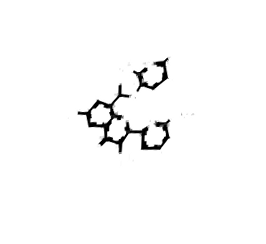 COc1cccc(-c2oc3c(C(C)Nc4ccc(Cl)nc4C#N)cc(C)cc3c(=O)c2C)n1